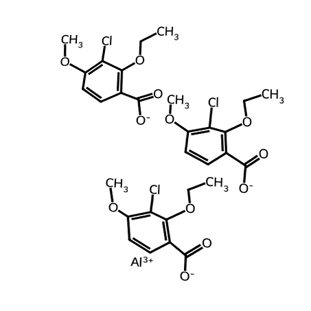 CCOc1c(C(=O)[O-])ccc(OC)c1Cl.CCOc1c(C(=O)[O-])ccc(OC)c1Cl.CCOc1c(C(=O)[O-])ccc(OC)c1Cl.[Al+3]